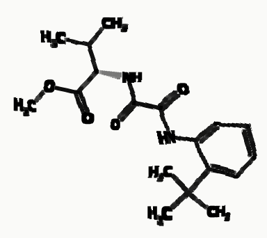 COC(=O)[C@@H](NC(=O)C(=O)Nc1ccccc1C(C)(C)C)C(C)C